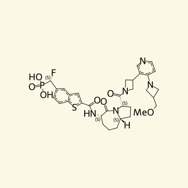 COCC1CN(c2ccncc2C2CN(C(=O)[C@@H]3CC[C@@H]4CCC[C@H](NC(=O)c5cc6cc([C@@H](F)P(=O)(O)O)ccc6s5)C(=O)N43)C2)C1